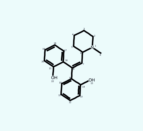 CN1CCCCC1C=C(c1ccccc1O)c1ccccc1O